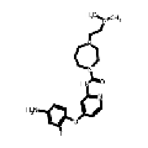 CN(C)CCN1CCCN(C(=O)Nc2cc(Oc3ccc(N)cc3F)ccn2)CC1